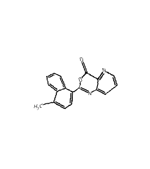 Cc1ccc(-c2nc3cccnc3c(=O)o2)c2ccccc12